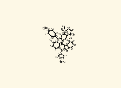 Cc1cc2c3c(c1)N(c1ccc(C(C)(C)C)cc1)c1sc4ccccc4c1B3c1cc3c(cc1N2c1ccc(C(C)(C)C)cc1C)C(C)(C)CCC3(C)C